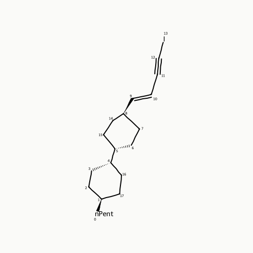 CCCCC[C@H]1CC[C@H]([C@H]2CC[C@H](/C=C/C#CI)CC2)CC1